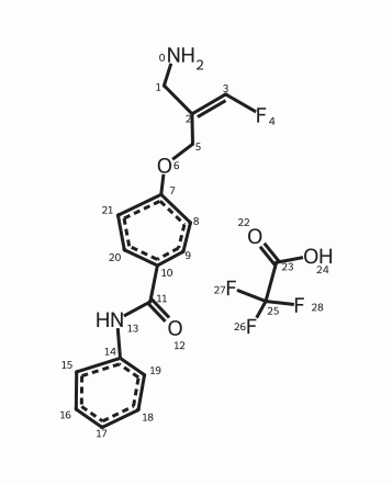 NC/C(=C/F)COc1ccc(C(=O)Nc2ccccc2)cc1.O=C(O)C(F)(F)F